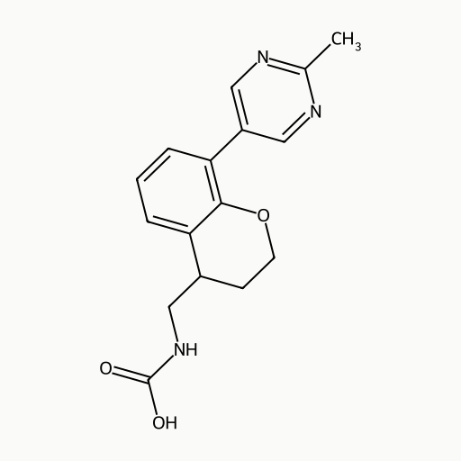 Cc1ncc(-c2cccc3c2OCCC3CNC(=O)O)cn1